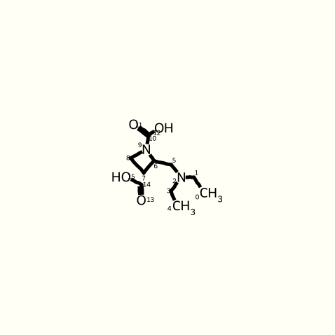 CCN(CC)CC1CCN1C(=O)O.O=CO